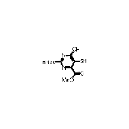 CCCCCCc1nc(O)c(S)c(C(=O)OC)n1